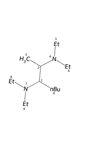 CCCCC(C(C)N(CC)CC)N(CC)CC